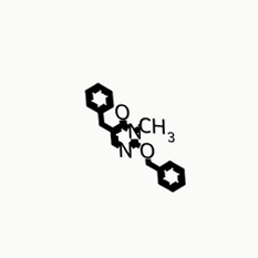 Cn1c(OCc2ccccc2)ncc(Cc2ccccc2)c1=O